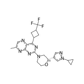 Cc1cnc2c(C3CC(C(F)(F)F)C3)nc(N3CCO[C@@H](c4cnn(C5CC5)c4)C3)nc2n1